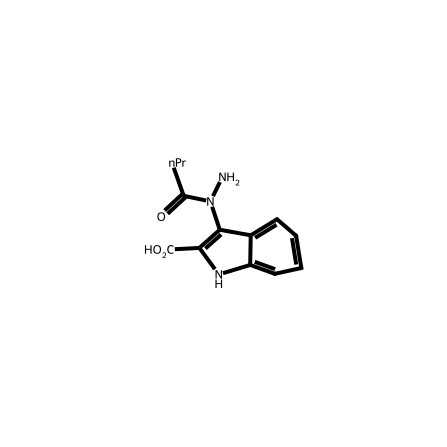 CCCC(=O)N(N)c1c(C(=O)O)[nH]c2ccccc12